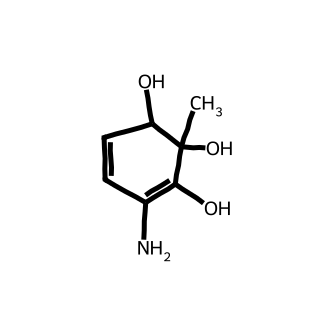 CC1(O)C(O)=C(N)C=CC1O